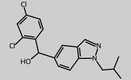 CC(C)Cn1ncc2cc(C(O)c3ccc(Cl)cc3Cl)ccc21